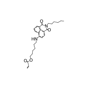 C=CC(=O)OCCCCCCNc1ccc2c3c(cccc13)C(=O)N(CCCCCC)C2=O